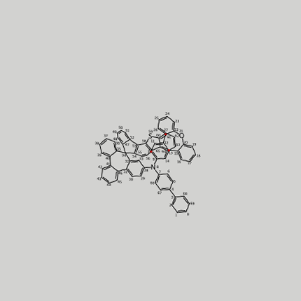 c1ccc(-c2ccc(N(c3ccc4c(c3)-c3ccccc3Oc3ccccc3-4)c3ccc4c(c3)C3(c5ccccc5-c5ccccc5-4)c4ccccc4-c4c3ccc3c4sc4ccccc43)cc2)cc1